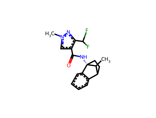 CC1C2CC[C@]1(NC(=O)c1cn(C)nc1C(F)F)c1ccccc12